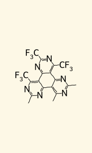 Cc1nc(C(F)(F)F)c2c(n1)c1c(C)nc(C)nc1c1c(C(F)(F)F)nc(C(F)(F)F)nc21